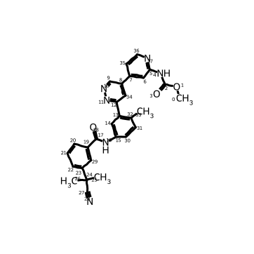 COC(=O)Nc1cc(-c2cnnc(-c3cc(NC(=O)c4cccc(C(C)(C)C#N)c4)ccc3C)c2)ccn1